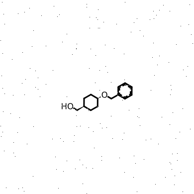 OC[C@H]1CC[C@H](OCc2ccccc2)CC1